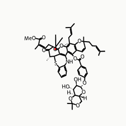 COC(=O)/C(C)=C\CC12OC(C)(C)[C@@H](C)C13Oc1c(CC=C(C)C)c4c(c(OC(=O)c5ccc(O[C@@H]6O[C@@H]7COC(C)(C)O[C@H]7[C@H](O)[C@H]6O)cc5)c1C1=C3C(Sc3ccccc3N1)[C@H](C)C2=O)C=CC(C)(CCC=C(C)C)O4